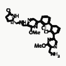 COc1nc(-c2cccc(-c3cccc(-c4cnc(CNC[C@@H]5CCC(=O)N5)c(OC)n4)c3Cl)c2Cl)cnc1CN